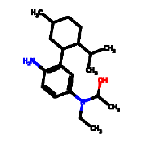 CCN(c1ccc(N)c(C2CC(C)CCC2C(C)C)c1)C(C)O